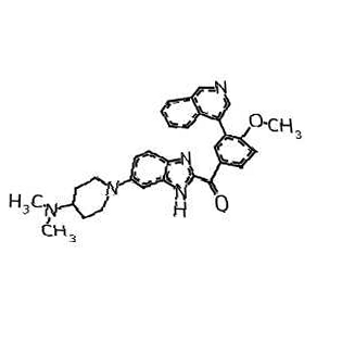 COc1ccc(C(=O)c2nc3ccc(N4CCC(N(C)C)CC4)cc3[nH]2)cc1-c1cncc2ccccc12